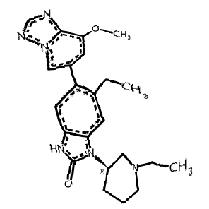 CCc1cc2c(cc1-c1cc(OC)c3ncnn3c1)[nH]c(=O)n2[C@@H]1CCCN(CC)C1